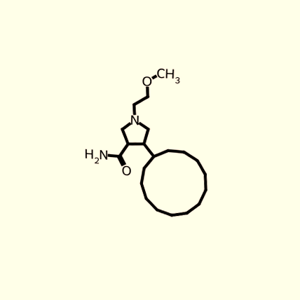 COCCN1CC(C(N)=O)C(C2CCCCCCCCCCCC2)C1